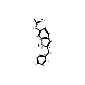 CC(=O)Oc1ccc2cc(Cc3ccccc3)[nH]c2c1